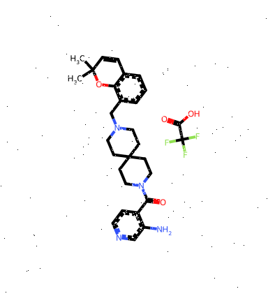 CC1(C)C=Cc2cccc(CN3CCC4(CC3)CCN(C(=O)c3ccncc3N)CC4)c2O1.O=C(O)C(F)(F)F